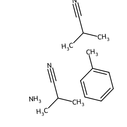 CC(C)C#N.CC(C)C#N.Cc1ccccc1.N